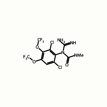 CNC(=O)N(C(=N)N)c1c(Cl)cc(OC(F)(F)F)c(OC(F)(F)F)c1Cl